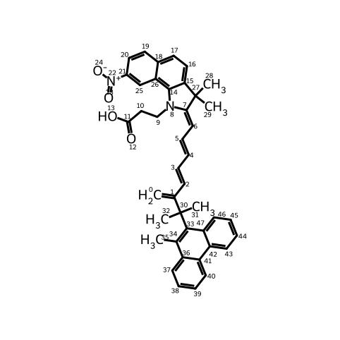 C=C(/C=C/C=C/C=C1\N(CCC(=O)O)c2c(ccc3ccc([N+](=O)[O-])cc23)C1(C)C)C(C)(C)c1c(C)c2ccccc2c2ccccc12